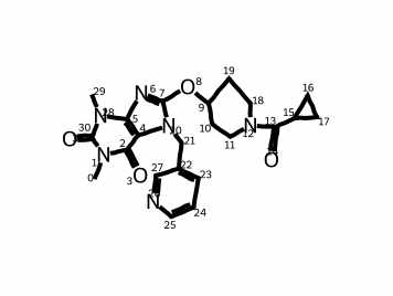 Cn1c(=O)c2c(nc(OC3CCN(C(=O)C4CC4)CC3)n2Cc2cccnc2)n(C)c1=O